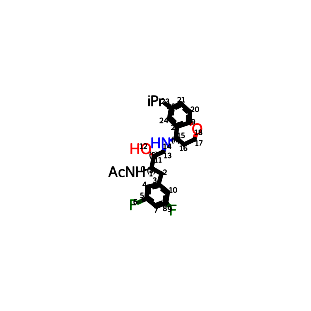 CC(=O)N[C@@H](Cc1cc(F)cc(F)c1)[C@@H](O)CN[C@@H]1CCOc2ccc(C(C)C)cc21